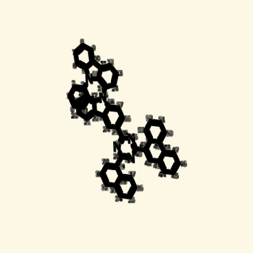 c1ccc(-n2c3ccccc3c3cccc(-n4c5ccccc5c5cc(-c6nc(-c7cccc8ccccc78)nc(-c7cc8ccccc8c8ccccc78)n6)ccc54)c32)cc1